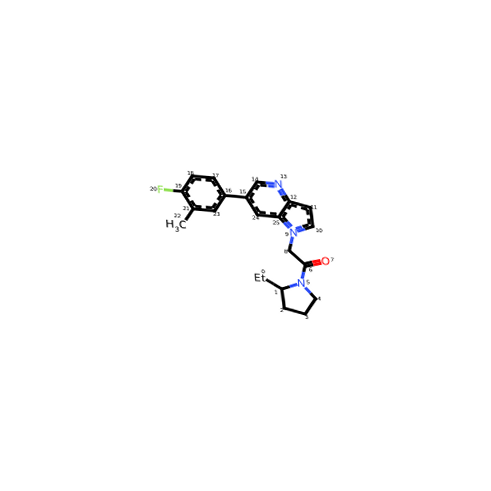 CCC1CCCN1C(=O)Cn1ccc2ncc(-c3ccc(F)c(C)c3)cc21